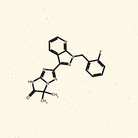 CC1(C)C(=O)Nc2nc(-c3nn(Cc4ccccc4F)c4ncccc34)nn21